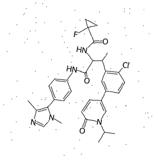 Cc1ncn(C)c1-c1ccc(NC(=O)C(NC(=O)C2(F)CC2)C(C)c2cc(-c3ccc(=O)n(C(C)C)c3)ccc2Cl)cc1